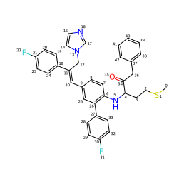 CSCCC(Nc1ccc(C=C(Cn2ccnc2)c2ccc(F)cc2)cc1-c1ccc(F)cc1)C(=O)Cc1ccccc1